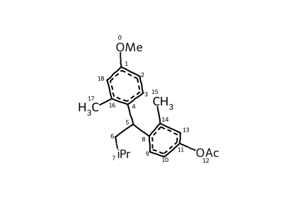 COc1ccc(C(CC(C)C)c2ccc(OC(C)=O)cc2C)c(C)c1